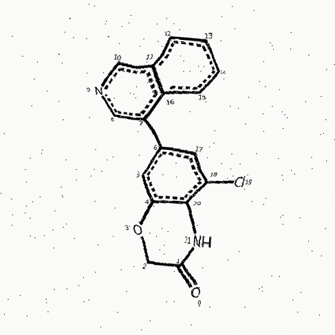 O=C1COc2cc(-c3cncc4ccccc34)cc(Cl)c2N1